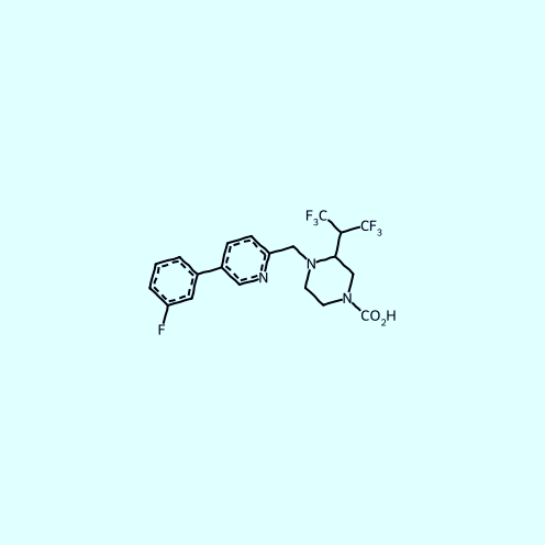 O=C(O)N1CCN(Cc2ccc(-c3cccc(F)c3)cn2)C(C(C(F)(F)F)C(F)(F)F)C1